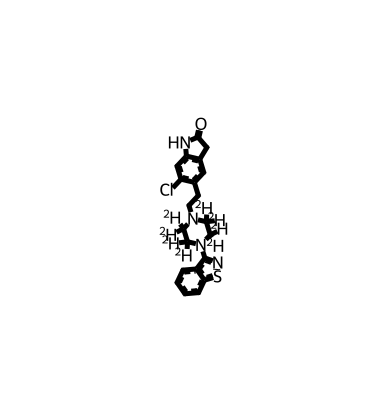 [2H]C1([2H])N(CCc2cc3c(cc2Cl)NC(=O)C3)C([2H])([2H])C([2H])([2H])N(c2nsc3ccccc23)C1([2H])[2H]